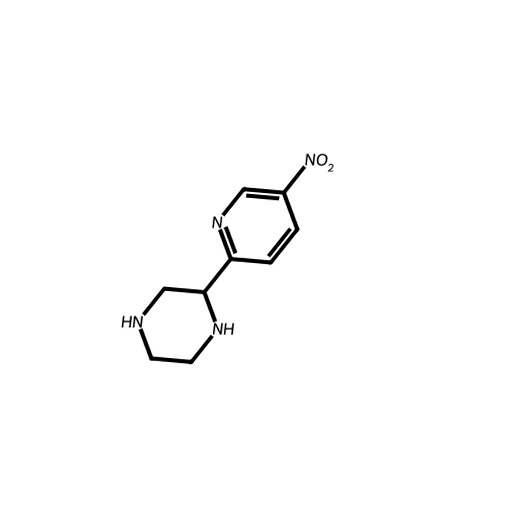 O=[N+]([O-])c1ccc(C2CNCCN2)nc1